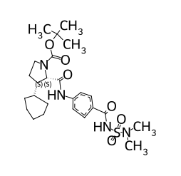 CN(C)S(=O)(=O)NC(=O)c1ccc(NC(=O)[C@@H]2[C@H](C3CCCCC3)CCN2C(=O)OC(C)(C)C)cc1